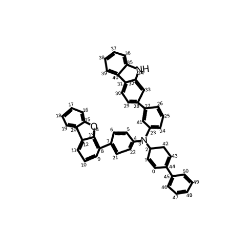 C1=CC(N(c2ccc(-c3cccc4c3oc3ccccc34)cc2)c2cccc(-c3ccc4c(c3)[nH]c3ccccc34)c2)CC=C1c1ccccc1